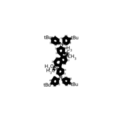 CC(C)(C)c1ccc(N(c2ccc(C(C)(C)C)cc2)c2ccc3c(c2)[Si](C)(C)c2ccc4c5c(ccc4c2-3)[Si](C)(C)c2cc(N(c3ccc(C(C)(C)C)cc3)c3ccc(C(C)(C)C)cc3)ccc2-5)cc1